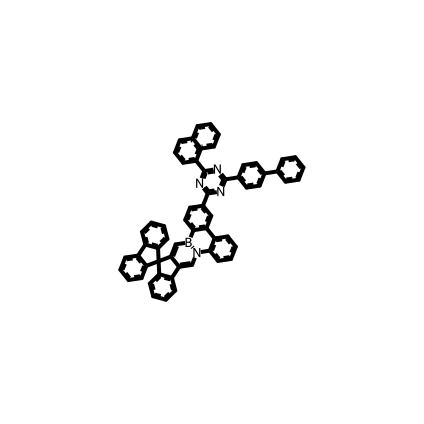 C1=C2C(=CB3c4ccc(-c5nc(-c6ccc(-c7ccccc7)cc6)nc(-c6cccc7ccccc67)n5)cc4-c4ccccc4N13)C1(c3ccccc32)c2ccccc2-c2ccccc21